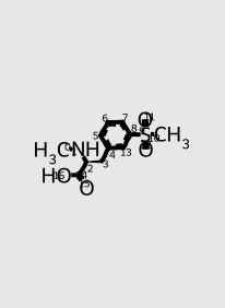 CN[C@@H](Cc1cccc(S(C)(=O)=O)c1)C(=O)O